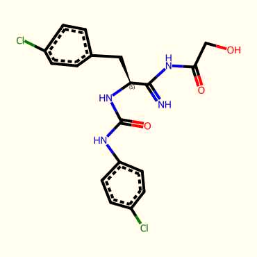 N=C(NC(=O)CO)[C@H](Cc1ccc(Cl)cc1)NC(=O)Nc1ccc(Cl)cc1